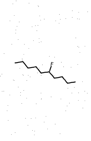 CCCCC[C](F)CCCC